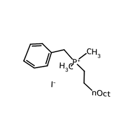 CCCCCCCCCC[P+](C)(C)Cc1ccccc1.[I-]